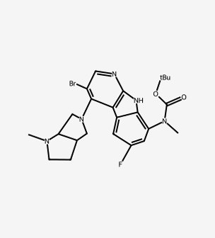 CN(C(=O)OC(C)(C)C)c1cc(F)cc2c1[nH]c1ncc(Br)c(N3CC4CCN(C)C4C3)c12